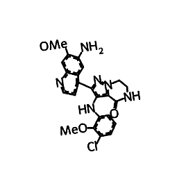 COc1cc2nccc(-c3nn4c(c3Nc3cccc(Cl)c3OC)C(=O)NCC4)c2cc1N